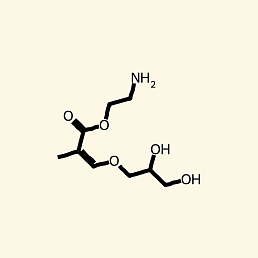 CC(=COCC(O)CO)C(=O)OCCN